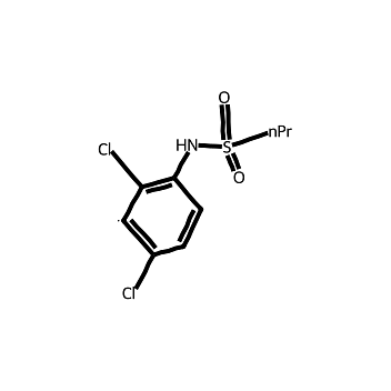 CCCS(=O)(=O)Nc1ccc(Cl)[c]c1Cl